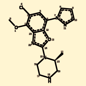 COc1c(Cl)cc(-n2cccn2)c2oc(N3CCNC[C@@H]3C)nc12